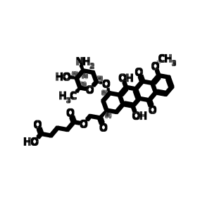 COc1cccc2c1C(=O)c1c(O)c3c(c(O)c1C2=O)C[C@@H](C(=O)COC(=O)CCCC(=O)O)C[C@@H]3O[C@H]1C[C@H](N)[C@H](O)[C@H](C)O1